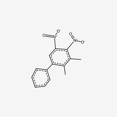 Cc1c(-c2ccccc2)cc([N+](=O)[O-])c([N+](=O)[O-])c1C